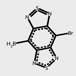 Bc1c2c(c(Br)c3nsnc13)N=S=N2